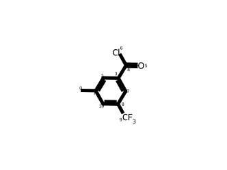 Cc1cc(C(=O)Cl)cc(C(F)(F)F)c1